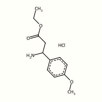 CCOC(=O)CC(N)c1ccc(OC)cc1.Cl